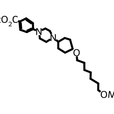 CCOC(=O)c1ccc(N2CCN(C3CCC(OCCCCCCCOC)CC3)CC2)cc1